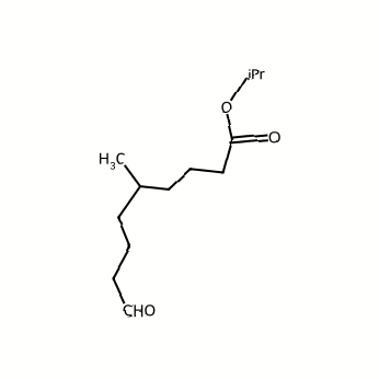 CC(CCCC=O)CCCC(=O)OC(C)C